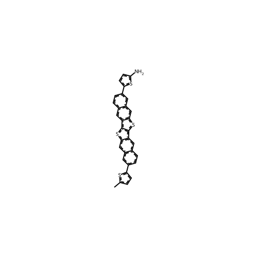 Cc1ccc(-c2ccc3cc4c(cc3c2)sc2c3cc5ccc(-c6ccc(N)s6)cc5cc3sc42)s1